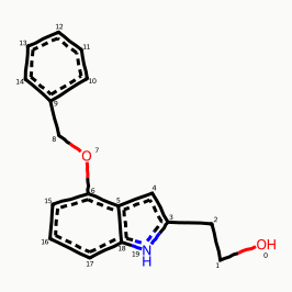 OCCc1cc2c(OCc3ccccc3)cccc2[nH]1